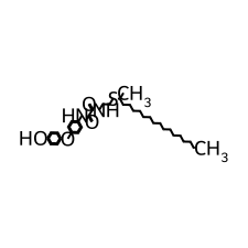 CCCCCCCCCCCCCCCCC(C)SCCNC(=O)C(=O)Nc1ccc(Oc2ccc(O)cc2)cc1